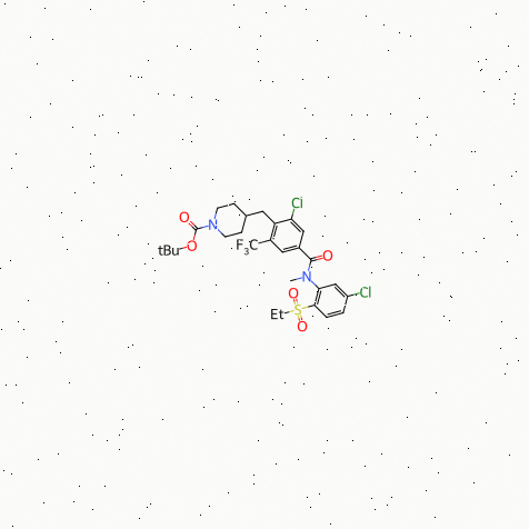 CCS(=O)(=O)c1ccc(Cl)cc1N(C)C(=O)c1cc(Cl)c(CC2CCN(C(=O)OC(C)(C)C)CC2)c(C(F)(F)F)c1